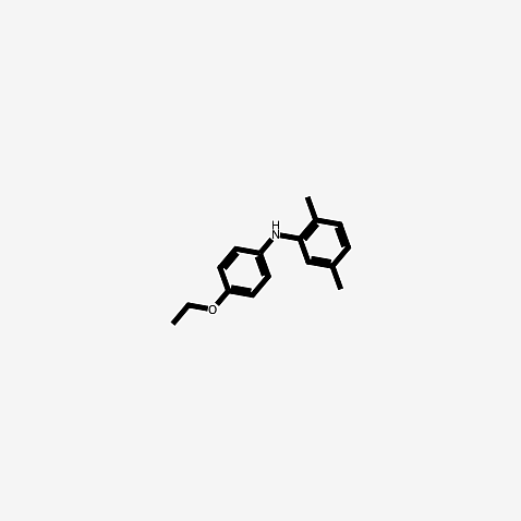 CCOc1ccc(Nc2cc(C)ccc2C)cc1